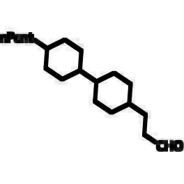 CCCCCC1CCC(C2CCC(CCC=O)CC2)CC1